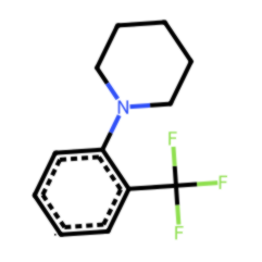 FC(F)(F)c1c[c]ccc1N1CCCCC1